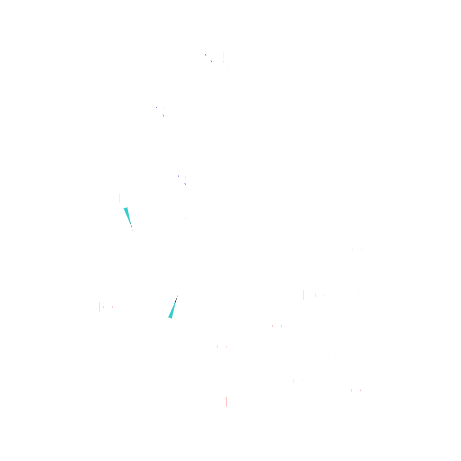 C#C[C@@]1(F)C(O)[C@@](F)(COP(=O)(O)OP(=O)(O)OP(=O)(O)O)O[C@H]1n1ccc(N)nc1=S